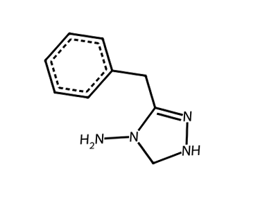 NN1CNN=C1Cc1ccccc1